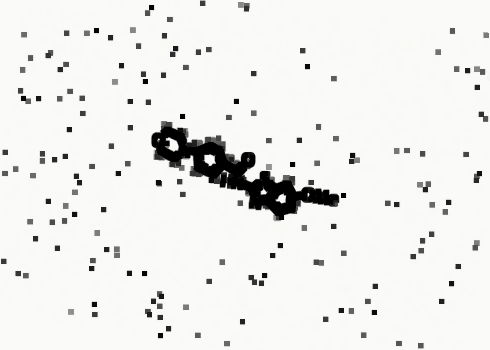 COc1ccc2nc(NC(=O)c3ccc(N4CCOCC4)cc3)sc2c1